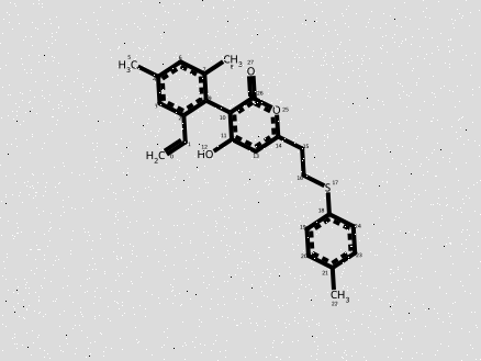 C=Cc1cc(C)cc(C)c1-c1c(O)cc(CCSc2ccc(C)cc2)oc1=O